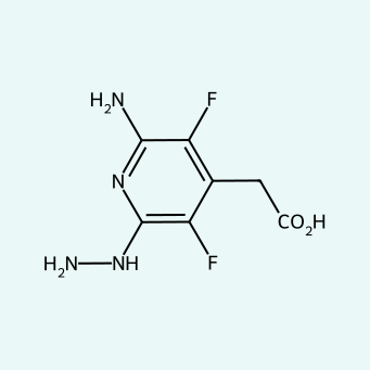 NNc1nc(N)c(F)c(CC(=O)O)c1F